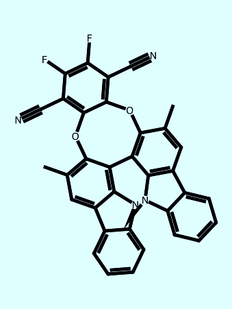 Cc1cc2c3ccccc3n3c2c2c1oc1c(C#N)c(F)c(F)c(C#N)c1oc1c(C)cc4c5ccccc5n(c4c12)C3